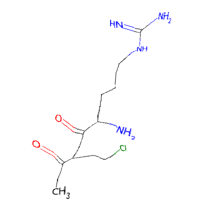 CC(=O)C(CCl)C(=O)C(N)CCCNC(=N)N